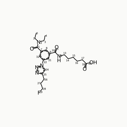 CCN(CC)C(=O)c1cc(C(=O)NCCCCCC(=O)O)cc(-n2cc(CCCF)nn2)c1